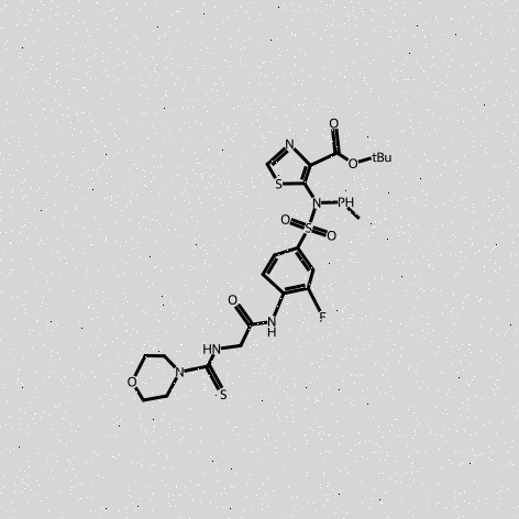 CPN(c1scnc1C(=O)OC(C)(C)C)S(=O)(=O)c1ccc(NC(=O)CNC(=S)N2CCOCC2)c(F)c1